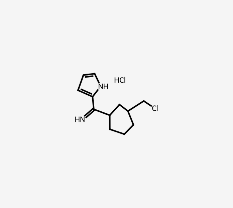 Cl.N=C(c1ccc[nH]1)C1CCCC(CCl)C1